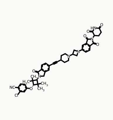 CC1(C)[C@H](Oc2ccc(C#N)c(Cl)c2)C(C)(C)[C@H]1N1Cc2cc(C#CC3CCN(C4CN(c5ccc6c(c5)C(=O)N(C5CCC(=O)NC5=O)C6=O)C4)CC3)ccc2C1=O